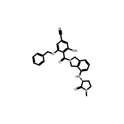 CN1CC[C@H](Nc2cccc3c2CN(C(=O)c2c(O)cc(C#N)cc2OCc2ccccc2)C3)C1=O